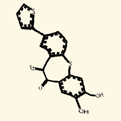 CCC1C(=O)c2cc(O)c(O)cc2Sc2ccc(-c3cccs3)cc21